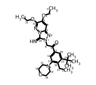 CCOc1cc2nn(CC(=O)c3cc(N4CCOCC4)c(CC)c(C(C)(C)C)c3)c(=N)n2nc1OCC